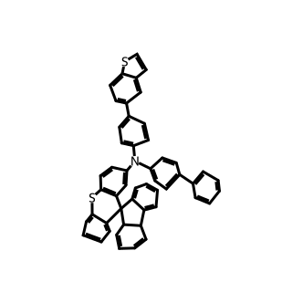 C1=CC2c3ccccc3C3(c4ccccc4Sc4ccc(N(c5ccc(-c6ccccc6)cc5)c5ccc(-c6ccc7sccc7c6)cc5)cc43)C2C=C1